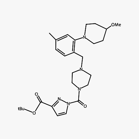 COC1CCN(c2cc(C)ccc2CN2CCN(C(=O)n3ccc(C(=O)OC(C)(C)C)n3)CC2)CC1